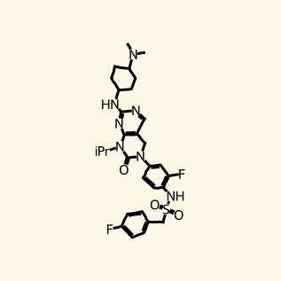 CC(C)N1C(=O)N(c2ccc(NS(=O)(=O)Cc3ccc(F)cc3)c(F)c2)Cc2cnc(NC3CCC(N(C)C)CC3)nc21